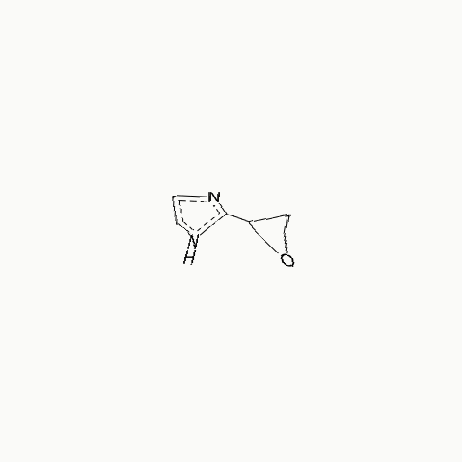 c1c[nH]c(C2CO2)n1